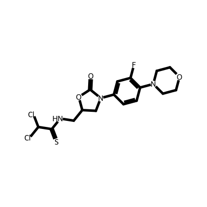 O=C1OC(CNC(=S)C(Cl)Cl)CN1c1ccc(N2CCOCC2)c(F)c1